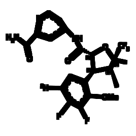 [2H]c1cc([C@H]2[C@H](C(=O)Nc3ccnc(C(N)=O)c3)O[C@@](C)(C(F)(F)F)[C@H]2C)c(OC)c(F)c1F